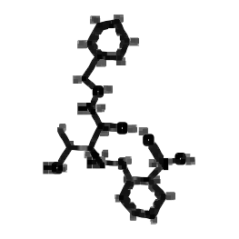 CC(O)[C@H](NSc1ccccc1[N+](=O)[O-])C(=O)NOCc1ccccc1